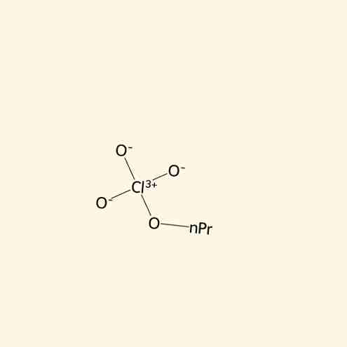 CCCO[Cl+3]([O-])([O-])[O-]